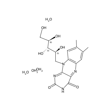 Cc1cc2nc3c(=O)[nH]c(=O)nc-3n(C[C@H](O)[C@H](O)[C@H](O)CO)c2cc1C.O.O.O.O